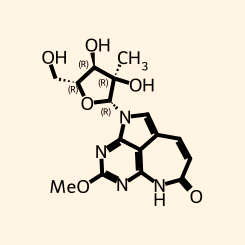 COc1nc2c3c(cn([C@@H]4O[C@H](CO)[C@@H](O)[C@@]4(C)O)c3n1)C=CC(=O)N2